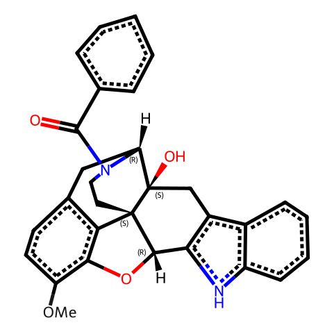 COc1ccc2c3c1O[C@H]1c4[nH]c5ccccc5c4C[C@@]4(O)[C@@H](C2)N(C(=O)c2ccccc2)CC[C@]314